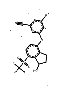 N#Cc1cc(F)cc(Oc2ccc(S(=O)(=O)C(F)(F)F)c3c2CCC3O)c1